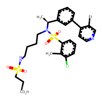 CCc1cnccc1-c1cccc([C@H](C)N(CCCCNS(=O)(=O)CCC(=O)O)S(=O)(=O)c2cccc(Cl)c2C)c1